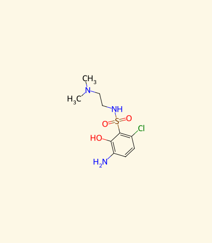 CN(C)CCNS(=O)(=O)c1c(Cl)ccc(N)c1O